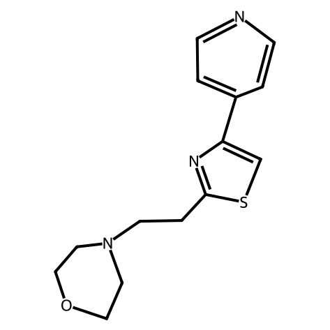 c1cc(-c2csc(CCN3CCOCC3)n2)ccn1